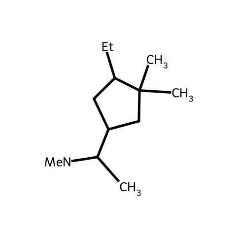 CCC1CC(C(C)NC)CC1(C)C